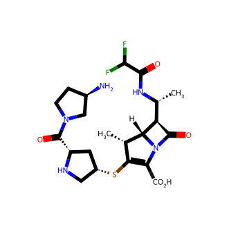 C[C@@H](NC(=O)C(F)F)[C@H]1C(=O)N2C(C(=O)O)=C(S[C@@H]3CN[C@H](C(=O)N4CC[C@@H](N)C4)C3)[C@H](C)[C@H]12